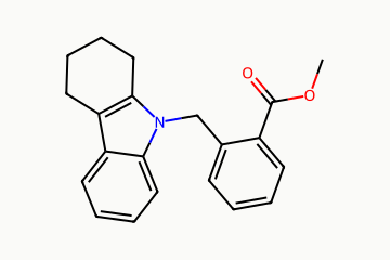 COC(=O)c1ccccc1Cn1c2c(c3ccccc31)CCCC2